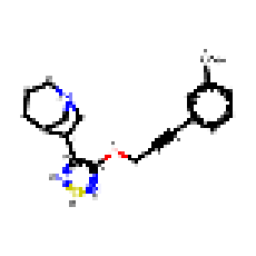 COc1cccc(C#CCOc2nsnc2C2CN3CCCC2C3)c1